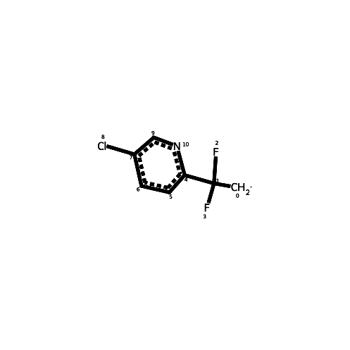 [CH2]C(F)(F)c1ccc(Cl)cn1